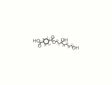 O=C(O)c1ccc(C(=O)OCCC(O)CCCCO)cc1